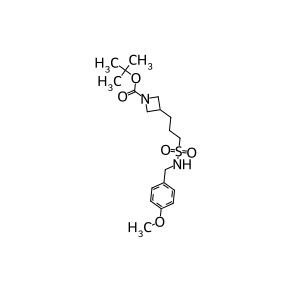 COc1ccc(CNS(=O)(=O)CCCC2CN(C(=O)OC(C)(C)C)C2)cc1